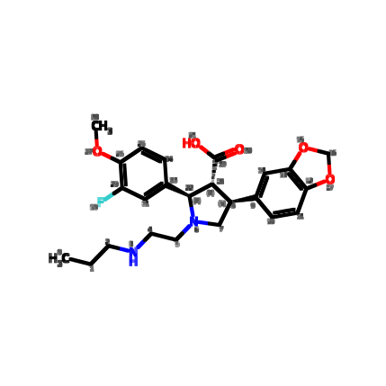 CCCNCCN1C[C@H](c2ccc3c(c2)OCO3)[C@@H](C(=O)O)[C@@H]1c1ccc(OC)c(F)c1